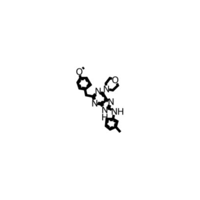 COc1ccc(Cc2nc(N3CCOCC3)c3nc(Nc4cccc(C)c4)[nH]c3n2)cc1